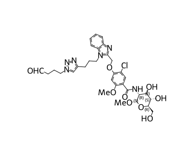 COc1cc(OCc2nc3ccccc3n2CCCc2cn(CCCC=O)nn2)c(Cl)cc1C(=O)N[C@H]1[C@@H](OC)O[C@H](CO)[C@@H](O)[C@@H]1O